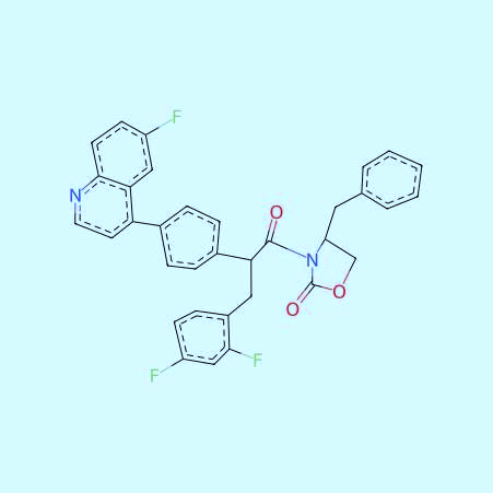 O=C1OCC(Cc2ccccc2)N1C(=O)C(Cc1ccc(F)cc1F)c1ccc(-c2ccnc3ccc(F)cc23)cc1